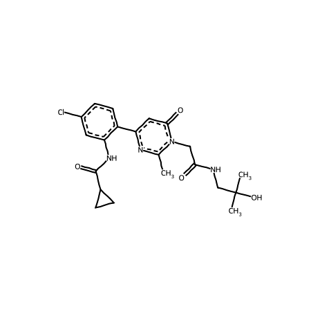 Cc1nc(-c2ccc(Cl)cc2NC(=O)C2CC2)cc(=O)n1CC(=O)NCC(C)(C)O